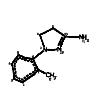 Cc1ccccc1N1CCC(N)=N1